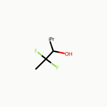 CC(C)C(O)C(C)(F)F